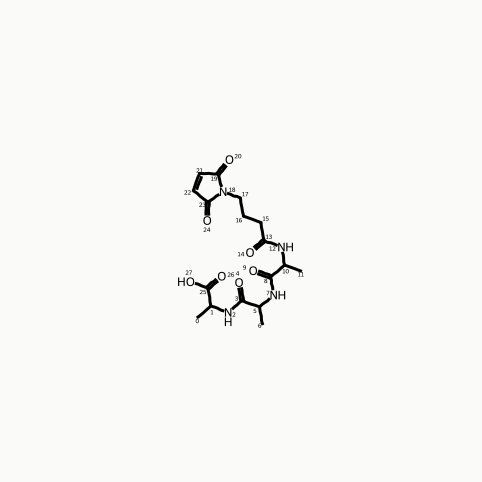 CC(NC(=O)C(C)NC(=O)C(C)NC(=O)CCCN1C(=O)C=CC1=O)C(=O)O